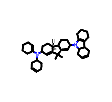 CC1(C)C2=CC(N3C4=C(CCCC4)C4CC=CCC43)CCC2[C@H]2CCC(N(C3=CCCCC3)C3CC=CCC3)C=C21